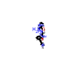 C[C@H](NC(=O)c1c(N)nn2cccnc12)c1nc2cccc(C#Cc3cnn(C)c3)c2c(=O)[nH]1